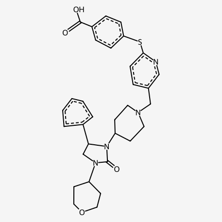 O=C(O)c1ccc(Sc2ccc(CN3CCC(N4C(=O)N(C5CCOCC5)CC4c4ccccc4)CC3)cn2)cc1